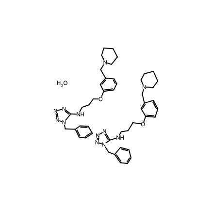 O.c1ccc(Cn2nnnc2NCCCOc2cccc(CN3CCCCC3)c2)cc1.c1ccc(Cn2nnnc2NCCCOc2cccc(CN3CCCCC3)c2)cc1